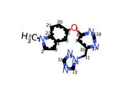 Cn1ccc2cc(Oc3cc(Cn4cncn4)ncn3)ccc21